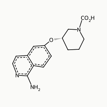 Nc1nccc2cc(O[C@H]3CCCN(C(=O)O)C3)ccc12